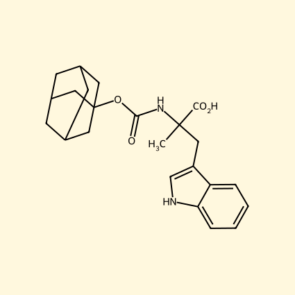 CC(Cc1c[nH]c2ccccc12)(NC(=O)OC12CC3CC(CC(C3)C1)C2)C(=O)O